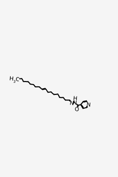 CCCCCCCCC=CCCCCCCCC=NNC(=O)c1ccncc1